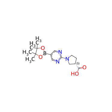 CC1(C)OB(c2cnc(N3CC[C@H](C(=O)O)C3)nc2)OC1(C)C